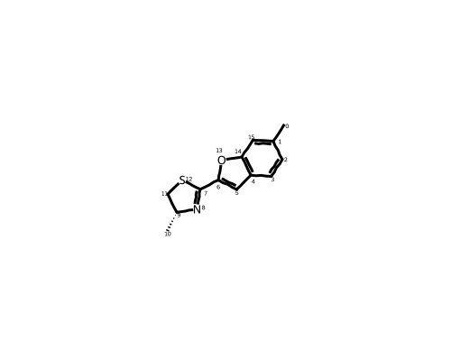 Cc1ccc2cc(C3=N[C@H](C)CS3)oc2c1